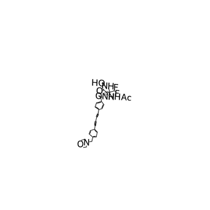 CC(=O)NC(C)(C(F)F)[C@H](NC(=O)c1ccc(C#CC#Cc2ccc(CN3CCOCC3)cc2)cc1)C(=O)NO